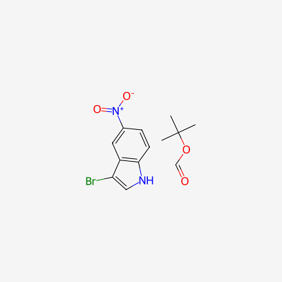 CC(C)(C)OC=O.O=[N+]([O-])c1ccc2[nH]cc(Br)c2c1